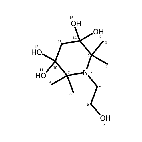 CC1(C)N(CCO)C(C)(C)C(O)(O)CC1(O)O